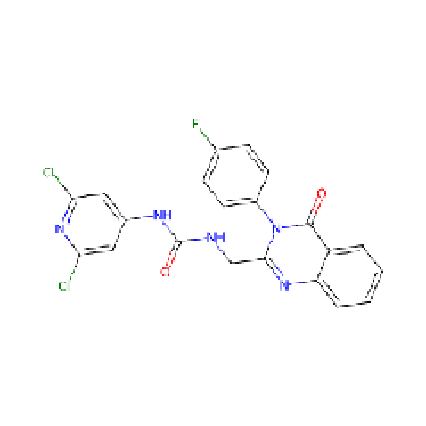 O=C(NCc1nc2ccccc2c(=O)n1-c1ccc(F)cc1)Nc1cc(Cl)nc(Cl)c1